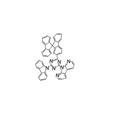 c1ccc2c(c1)-c1ccccc1C21c2ccccc2-c2ccc(-c3nc(-n4c5ccccc5c5ccccc54)nc(-n4c5ncccc5c5cccnc54)n3)cc21